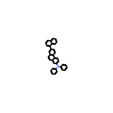 c1ccc(N(c2ccccc2)c2ccc3c(ccc4cc(-c5cccc6ccccc56)ccc43)c2)cc1